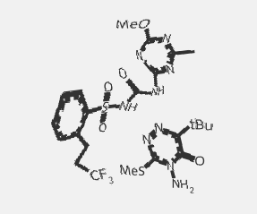 COc1nc(C)nc(NC(=O)NS(=O)(=O)c2ccccc2CCC(F)(F)F)n1.CSc1nnc(C(C)(C)C)c(=O)n1N